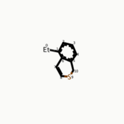 CCc1cccc2c1C=CSC2